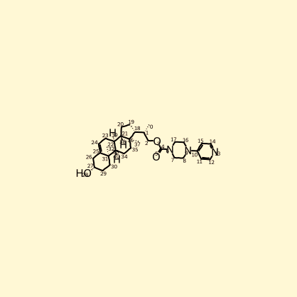 C[C@H](COC(=O)N1CCN(c2ccncc2)CC1)[C@H]1CC[C@H]2[C@@H]3CC=C4C[C@@H](O)CC[C@]4(C)[C@H]3CC[C@]12C